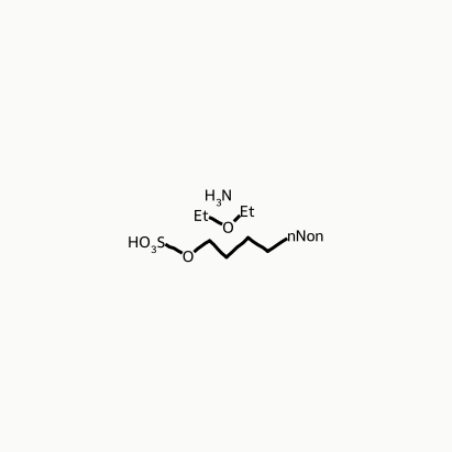 CCCCCCCCCCCCCOS(=O)(=O)O.CCOCC.N